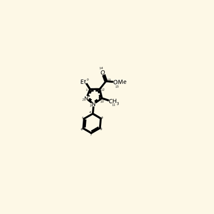 CCc1nn(C2C=CC=CC2)c(C)c1C(=O)OC